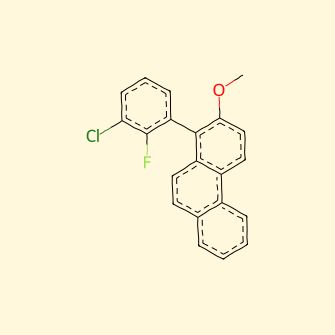 COc1ccc2c(ccc3ccccc32)c1-c1cccc(Cl)c1F